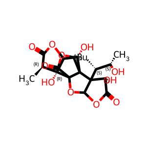 C[C@H](O)[C@@H](C(C)(C)C)C12C(OC(=O)[C@@H]1O)OC13C(=O)OCC21[C@@H](O)C1OC(=O)[C@H](C)[C@@]13O